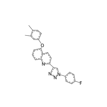 Cc1ccc(Oc2cccc3nc(-c4cn(-c5ccc(F)cc5)nn4)ccc23)cc1C